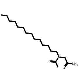 CCCCCCCCCCCCCCN(CC(N)=O)C(C)=O